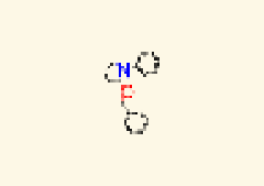 c1ccc(COC2CCCN2c2ccccc2)cc1